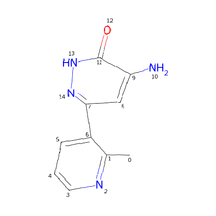 Cc1ncccc1-c1cc(N)c(=O)[nH]n1